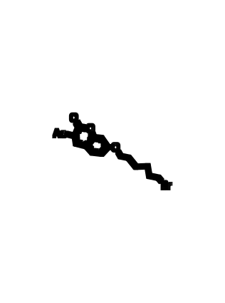 CC(=O)c1cc2ccc(OCCCCCCBr)cc2oc1=O